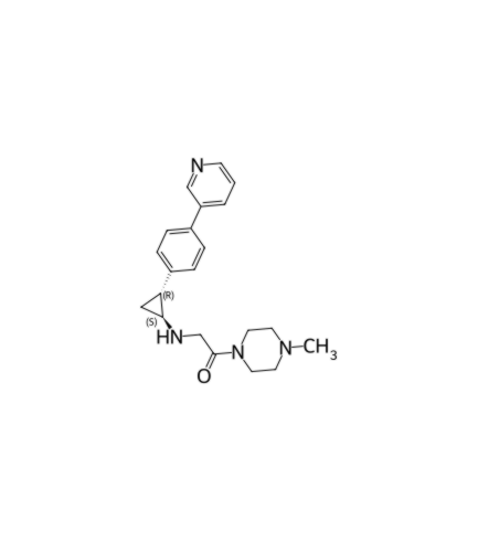 CN1CCN(C(=O)CN[C@H]2C[C@@H]2c2ccc(-c3cccnc3)cc2)CC1